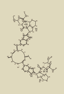 C/C=C1\C=C(\c2ccc3[nH]c([C@@H]4C[C@@H]5CCCC[C@@H]5N4C(=O)[C@H](CCOC)NC(=O)OC)nc3c2)[C@H](C)CC[C@@H](C)/C=C\C(=C(/C)c2ccc3[nH]c([C@@H]4C[C@@H]5CCCC[C@@H]5N4C(=O)[C@H](CCOC)NC(=O)OC)nc3c2)CC1